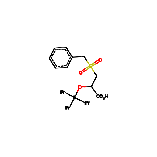 CC(C)[Si](OC(CS(=O)(=O)Cc1ccccc1)C(=O)O)(C(C)C)C(C)C